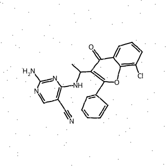 CC(Nc1nc(N)ncc1C#N)c1c(-c2ccccc2)oc2c(Cl)cccc2c1=O